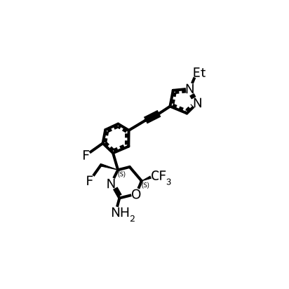 CCn1cc(C#Cc2ccc(F)c([C@]3(CF)C[C@@H](C(F)(F)F)OC(N)=N3)c2)cn1